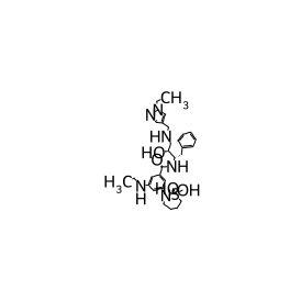 CCNc1cc(C(=O)N[C@@H](Cc2ccccc2)[C@@H](O)CNCc2cnn(CC)c2)cc(N2CCCCS2(O)O)c1